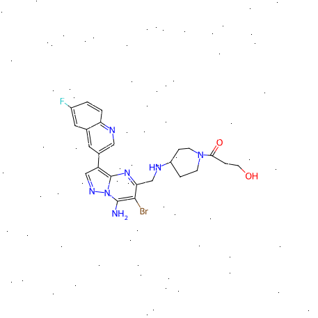 Nc1c(Br)c(CNC2CCN(C(=O)CCO)CC2)nc2c(-c3cnc4ccc(F)cc4c3)cnn12